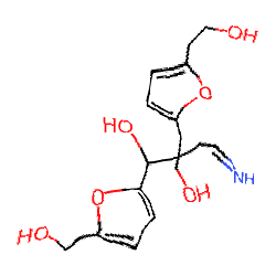 N=CC(O)(c1ccc(CO)o1)C(O)c1ccc(CO)o1